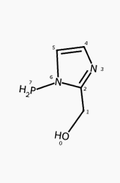 OCc1nccn1P